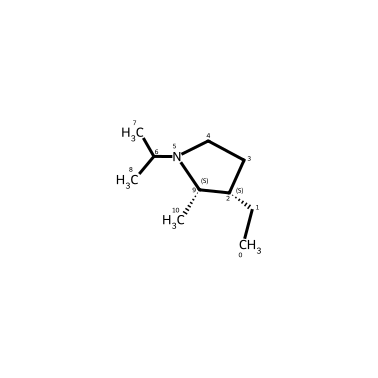 CC[C@H]1CCN(C(C)C)[C@H]1C